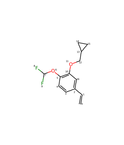 C=Cc1ccc(OC(F)F)c(OCC2CC2)c1